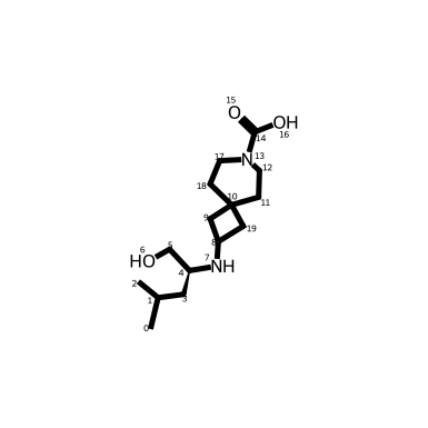 CC(C)C[C@@H](CO)NC1CC2(CCN(C(=O)O)CC2)C1